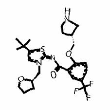 CC(C)(C)c1cn(C[C@H]2CCCO2)c(=NC(=O)c2cc(C(F)(F)F)ccc2OC[C@@H]2CCNC2)s1